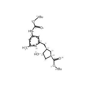 Cc1cc(NC(=O)OC(C)(C)C)cc(C[C@H]2CN(C(=O)OC(C)(C)C)C[C@@H]2O)n1